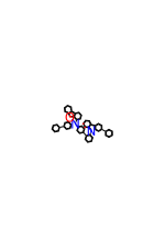 c1ccc(-c2ccc(N(c3ccc(-c4ccccc4-n4c5ccccc5c5ccc(-c6ccccc6)cc54)cc3)c3cccc4c3oc3ccccc34)cc2)cc1